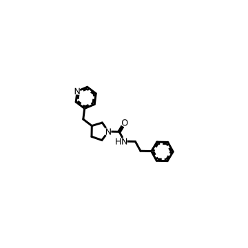 O=C(NCCc1ccccc1)N1CCC(Cc2cccnc2)C1